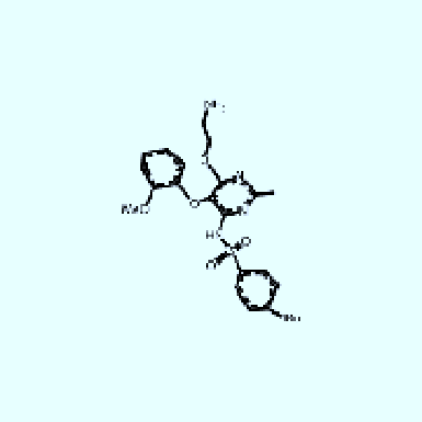 COc1ccccc1Oc1c(NS(=O)(=O)c2ccc(C(C)(C)C)cc2)nc(C)nc1OCCN